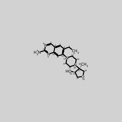 CCc1cc2cnc(N)nc2cc1N1CCN([C@@]2(C)COC[C@H]2O)CC1